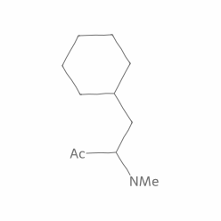 CNC(CC1CCCCC1)C(C)=O